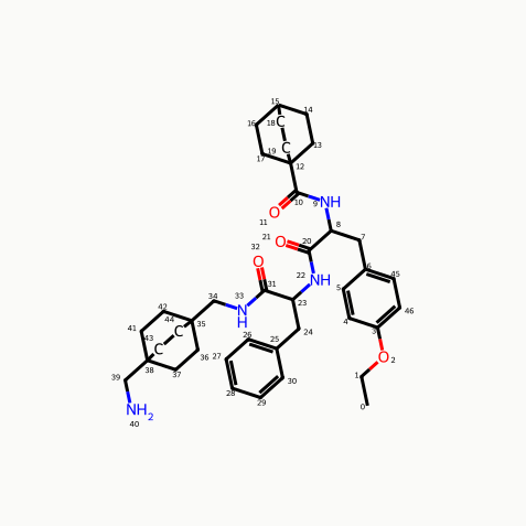 CCOc1ccc(CC(NC(=O)C23CCC(CC2)CC3)C(=O)NC(Cc2ccccc2)C(=O)NCC23CCC(CN)(CC2)CC3)cc1